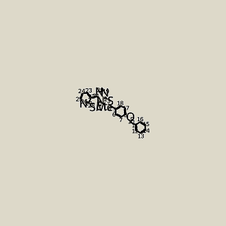 CCn1c(SCc2ccc(OCc3ccccc3)cc2)nnc1-c1cccnc1SC